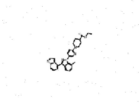 CCOC(=O)C1CCN(c2ccc(-n3nc(-c4cccn5nccc45)c4cccc(C)c43)cn2)CC1